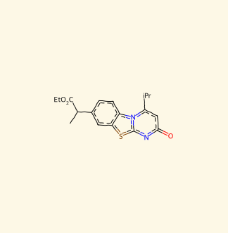 CCOC(=O)C(C)c1ccc2c(c1)sc1nc(=O)cc(C(C)C)n12